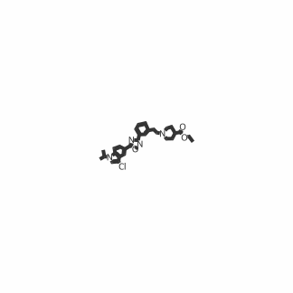 CCOC(=O)C1CCN(CCc2cccc(-c3noc(-c4ccc5c(c4)c(Cl)cn5C(C)C)n3)c2)CC1